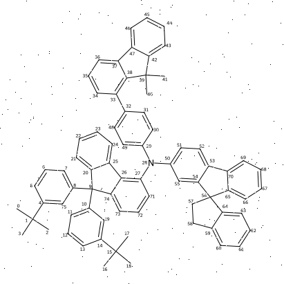 CC(C)(C)c1cccc(C2(c3cccc(C(C)(C)C)c3)c3ccccc3-c3c(N(c4ccc(-c5cccc6c5C(C)(C)c5ccccc5-6)cc4)c4ccc5c(c4)C4(CCc6ccccc64)c4ccccc4-5)cccc32)c1